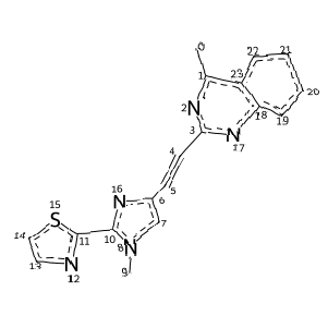 Cc1nc(C#Cc2cn(C)c(-c3nccs3)n2)nc2ccccc12